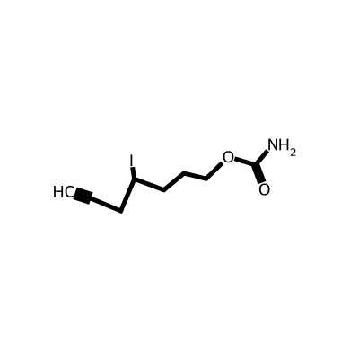 C#CCC(I)CCCOC(N)=O